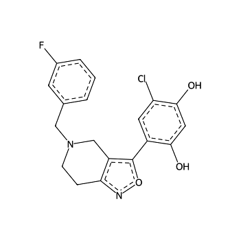 Oc1cc(O)c(-c2onc3c2CN(Cc2cccc(F)c2)CC3)cc1Cl